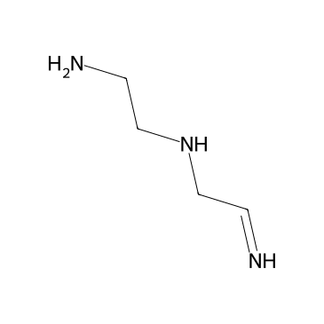 N=CCNCCN